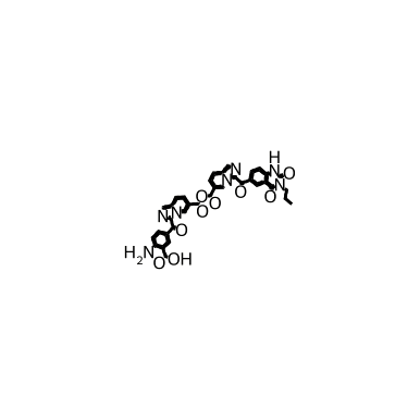 CCCn1c(=O)[nH]c2ccc(C(=O)c3ncc4ccc(C(=O)OC(=O)c5ccc6cnc(C(=O)c7ccc(N)c(C(=O)O)c7)n6c5)cn34)cc2c1=O